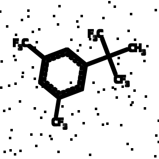 CC(c1cc(C(F)(F)F)cc(C(F)(F)F)c1)(C(F)(F)F)C(F)(F)F